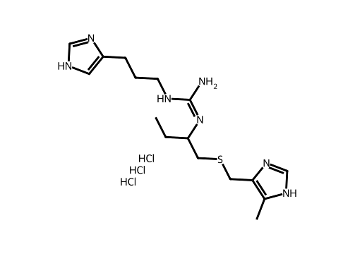 CCC(CSCc1nc[nH]c1C)N=C(N)NCCCc1c[nH]cn1.Cl.Cl.Cl